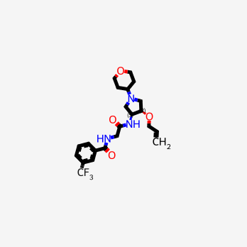 C=CCO[C@@H]1CN(C2CCOCC2)C[C@@H]1NC(=O)CNC(=O)c1cccc(C(F)(F)F)c1